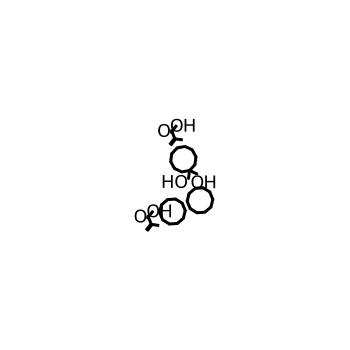 C1CCCCCCCCC1.C1CCCCCCCCC1.C=C(C)C(=O)O.C=C(C)C(=O)O.OCC1(CO)CCCCCCCCC1